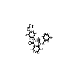 CCOc1ccc(NC(=O)c2cnccc2NCc2ccccc2)cc1